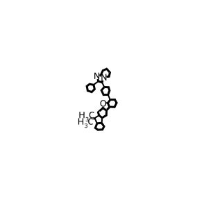 CC1(C)c2ccccc2-c2cc3c(cc21)oc1c(-c2ccc(-c4c(-c5ccccc5)nc5ccccn45)cc2)cccc13